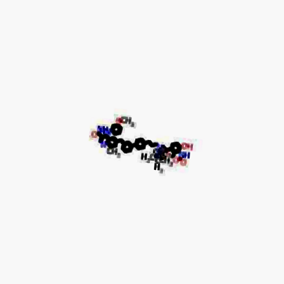 COc1cccc(Nc2c(C(N)=O)cnc3c(C)cc(Cc4cccc(-c5ccc(CCCNC[C@H](O[Si](C)(C)C(C)(C)C)c6ccc(O)c7c6COC(=O)N7)cc5)c4)cc23)c1